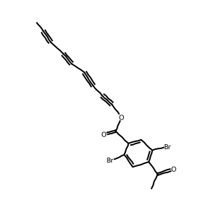 CC#CC#CC#CC#COC(=O)c1cc(Br)c(C(C)=O)cc1Br